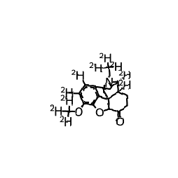 [2H]c1c([2H])c(OC([2H])([2H])[2H])c2c3c1C[C@@]1([2H])N(C([2H])([2H])[2H])CC[C@@]34C(O2)C(=O)CC[C@]41[2H]